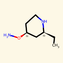 CC[C@H]1C[C@@H](ON)CCN1